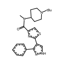 CN(C(=O)c1csc(-c2c[nH]nc2-c2ccccc2)n1)C1CCN(C(C)(C)C)CC1